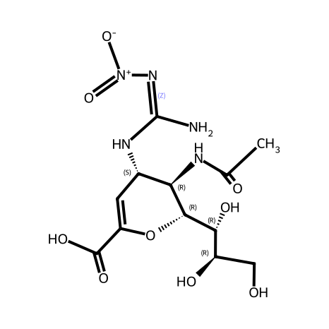 CC(=O)N[C@H]1[C@H]([C@H](O)[C@H](O)CO)OC(C(=O)O)=C[C@@H]1N/C(N)=N\[N+](=O)[O-]